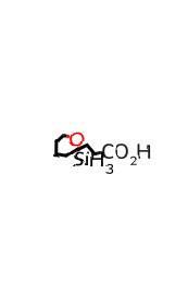 O=C(O)CCC1([SiH3])CCCCO1